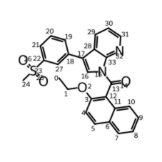 CCOc1ccc2ccccc2c1C(=O)n1cc(-c2cccc(S(C)(=O)=O)c2)c2cccnc21